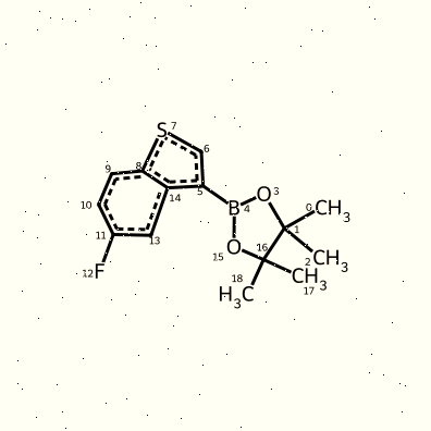 CC1(C)OB(c2csc3ccc(F)cc23)OC1(C)C